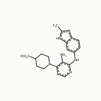 CCOC(=O)C1CCN(c2ncnc(Nc3ccc4nc(C(F)(F)F)[nH]c4c3)c2[N+](=O)[O-])CC1